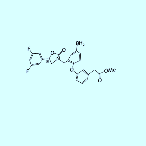 Bc1ccc(Oc2cccc(CC(=O)OC)c2)c(CN2C[C@H](c3cc(F)cc(F)c3)OC2=O)c1